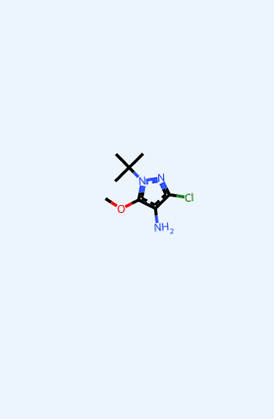 COc1c(N)c(Cl)nn1C(C)(C)C